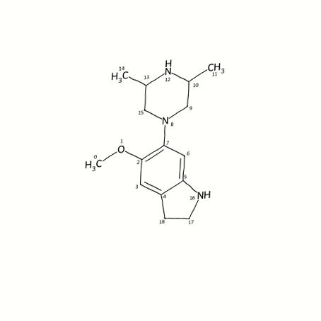 COc1cc2c(cc1N1CC(C)NC(C)C1)NCC2